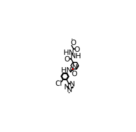 COCC(=O)NNC(=O)C12CC(C)CC(C1)N2C(=O)Nc1ccc(Cl)c(-c2ncn(C)n2)c1